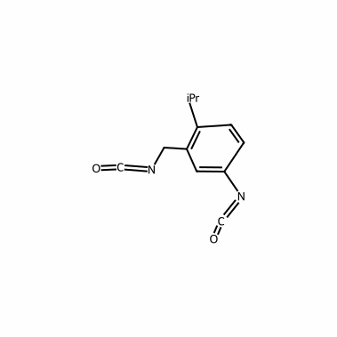 CC(C)c1ccc(N=C=O)cc1CN=C=O